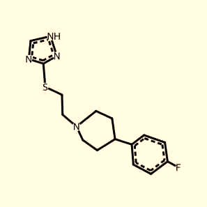 Fc1ccc(C2CCN(CCSc3nc[nH]n3)CC2)cc1